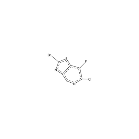 Fc1c(Cl)ncc2nc(Br)sc12